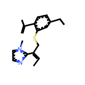 C=C(C)c1ccc(CC)cc1SC/C(=C/C)c1nccn1C